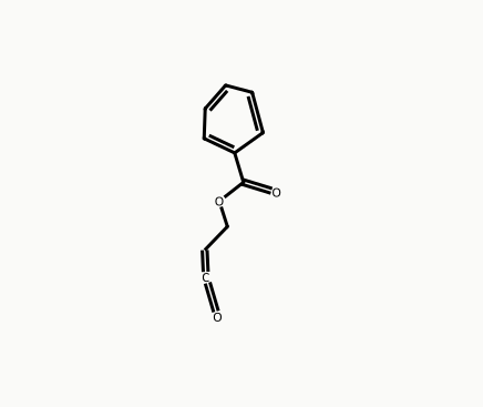 O=C=CCOC(=O)c1ccccc1